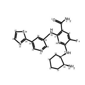 NC(=O)c1cc(F)c(N[C@@H]2CCCC[C@@H]2N)nc1Nc1cncc(-c2nccs2)c1